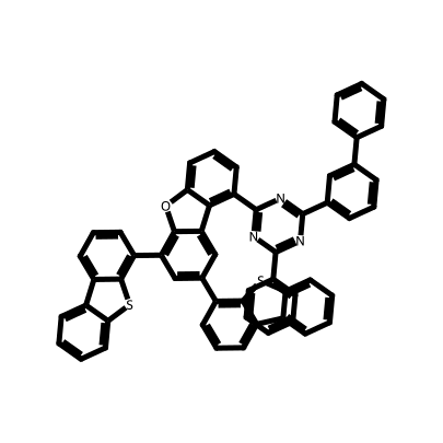 c1ccc(-c2cccc(-c3nc(-c4ccccc4)nc(-c4cccc5oc6c(-c7cccc8c7sc7ccccc78)cc(-c7cccc8c7sc7ccccc78)cc6c45)n3)c2)cc1